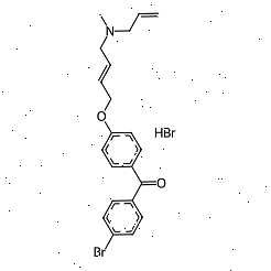 Br.C=CCN(C)CC=CCOc1ccc(C(=O)c2ccc(Br)cc2)cc1